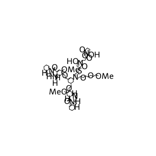 COCCOCCOCCN(CC(C)(C)SC1C[C@H](O)N(CCC(=O)ON2C(=O)CC[C@@H]2O)C1=O)[C@@H]1C=C(COC2=C(OC)C=C3C(=O)N4C5=CCCC[C@H]5C[C@H]4CN[C@H]3C2)C[C@H](COC2=C(OC)C[C@@H]3C(=O)N4C5=CCCC[C@@H]5C[C@H]4C=N[C@@H]3C2)C1